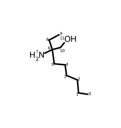 CCCCCCC(N)(CC)CO